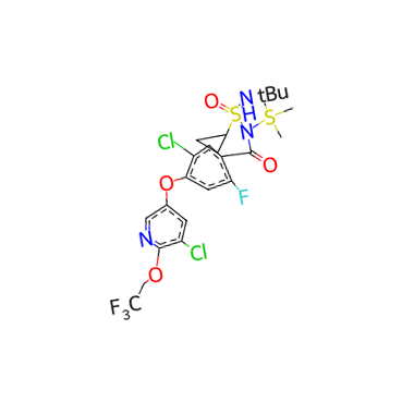 CC(C)(C)S(C)(C)N(C(=O)c1cc(Cl)c(Oc2cnc(OCC(F)(F)F)c(Cl)c2)cc1F)S(=N)(=O)C1CC1